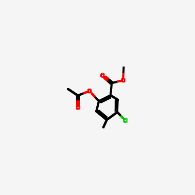 COC(=O)c1cc(Cl)c(C)cc1OC(C)=O